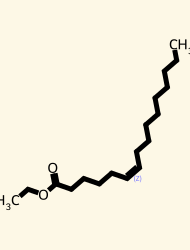 CCCCCCCCC/C=C\CCCCC(=O)OCC